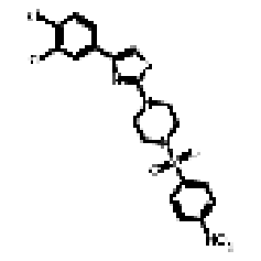 O=[N+]([O-])c1ccc(S(=O)(=O)N2CCN(c3nc(-c4ccc(Cl)c(Cl)c4)cs3)CC2)cc1